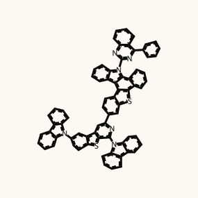 c1ccc(-c2nc(-n3c4ccccc4c4c5c6ccc(-c7cc8c(sc9ccc(-n%10c%11ccccc%11c%11ccccc%11%10)cc98)c(-n8c9ccccc9c9ccccc98)n7)cc6sc5c5ccccc5c43)nc3ccccc23)cc1